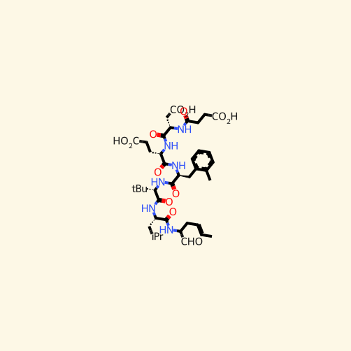 C/C=C/CC(C=O)NC(=O)[C@H](CC(C)C)NC(=O)[C@@H](NC(=O)[C@H](Cc1ccccc1C)NC(=O)[C@H](CCC(=O)O)NC(=O)[C@H](CC(=O)O)NC(=O)CCC(=O)O)C(C)(C)C